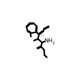 C=C/C=C(\C1=CC=C=CC=C1C)C(C)C(N)C(=C)CCC